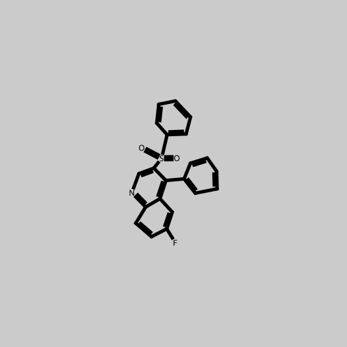 O=S(=O)(c1ccccc1)c1cnc2ccc(F)cc2c1-c1ccccc1